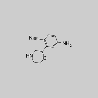 N#Cc1ccc(N)cc1C1CNCCO1